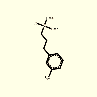 CC[Si](CCCc1cccc(C(F)(F)F)c1)(OC)OC